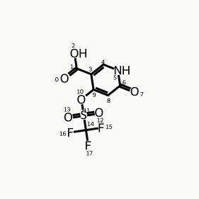 O=C(O)c1c[nH]c(=O)cc1OS(=O)(=O)C(F)(F)F